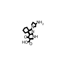 NC1CCN(c2nc3[nH]cc(C(=O)O)c(=O)c3c3c2CCCC3)C1